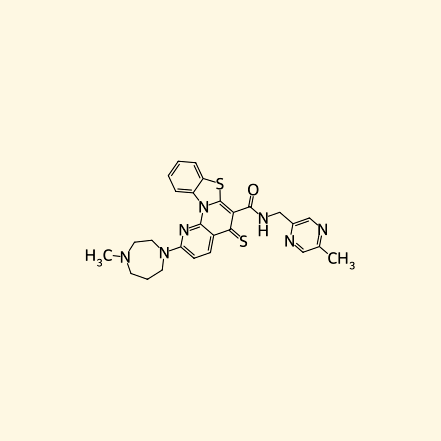 Cc1cnc(CNC(=O)c2c(=S)c3ccc(N4CCCN(C)CC4)nc3n3c2sc2ccccc23)cn1